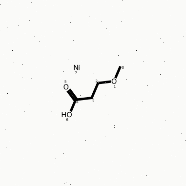 COCCC(=O)O.[Ni]